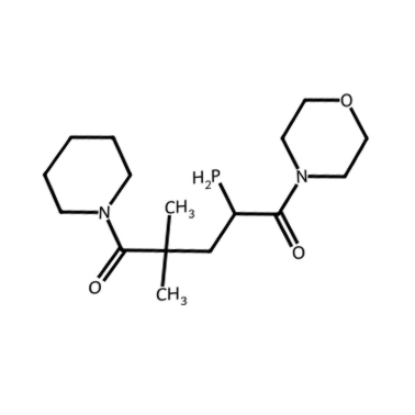 CC(C)(CC(P)C(=O)N1CCOCC1)C(=O)N1CCCCC1